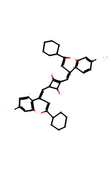 COc1ccc2c(c1)OC(C1CCCCC1)=C/C2=C\C1=C(O)C(/C=C2\C=C(C3CCCCC3)Oc3cc(OC)ccc32)C1O